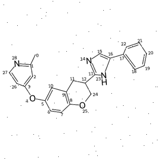 Cc1cc(Oc2ccc3c(c2)CC(c2ncc(-c4ccccc4)[nH]2)CO3)ccn1